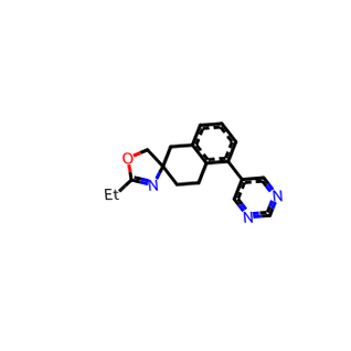 CCC1=NC2(CCc3c(cccc3-c3cncnc3)C2)CO1